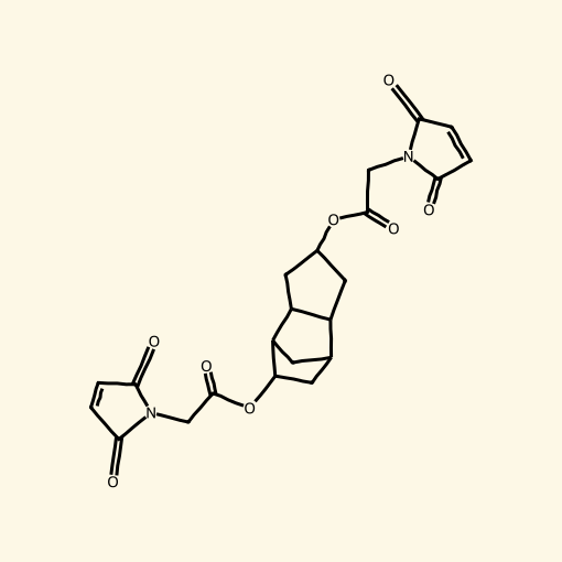 O=C(CN1C(=O)C=CC1=O)OC1CC2C3CC(OC(=O)CN4C(=O)C=CC4=O)C(C3)C2C1